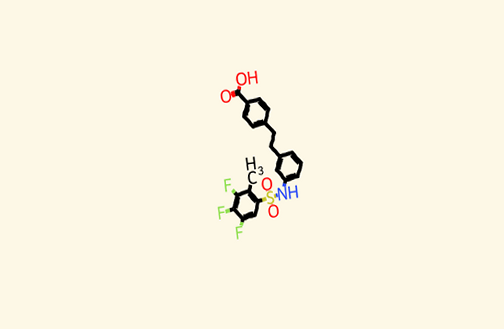 Cc1c(S(=O)(=O)Nc2cccc(CCc3ccc(C(=O)O)cc3)c2)cc(F)c(F)c1F